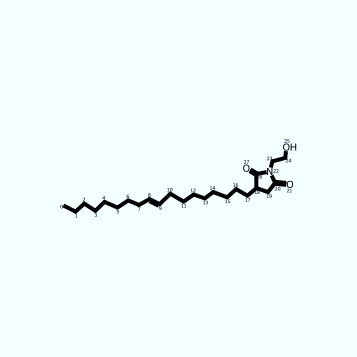 CCCCCCCCC=CCCCCCCCCC1CC(=O)N(CCO)C1=O